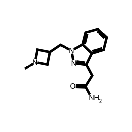 CN1CC(Cn2nc(CC(N)=O)c3ccccc32)C1